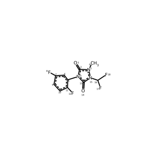 Cn1c(=O)n(-c2cc(F)ccc2F)c(=O)n1C(F)F